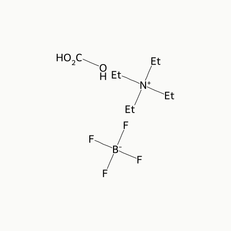 CC[N+](CC)(CC)CC.F[B-](F)(F)F.O=C(O)O